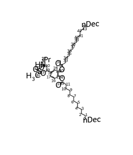 CCCCCCCCCCCCCCCCCCCCCC(=O)Oc1ccc(C(CNC(C)C)OS(C)(=O)=O)cc1OC(=O)CCCCCCCCCCCCCCCCCCCCC